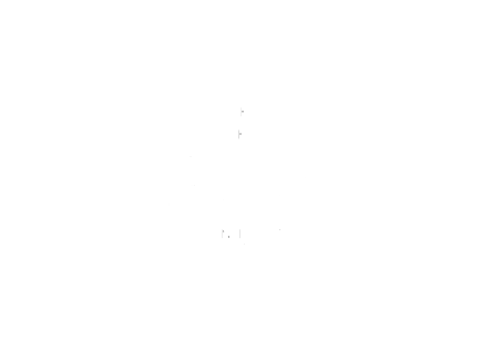 NC(CC(=O)[O-])C(=O)[O-].[K+].[K+]